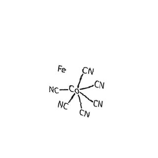 N#[C][Co]([C]#N)([C]#N)([C]#N)([C]#N)[C]#N.[Fe]